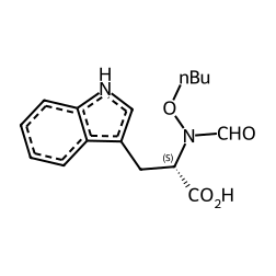 CCCCON(C=O)[C@@H](Cc1c[nH]c2ccccc12)C(=O)O